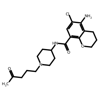 CC(=O)CCCN1CCC(NC(=O)c2cc(Cl)c(N)c3c2OCCC3)CC1